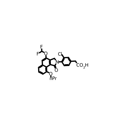 CCCOc1cccc2cc(OC(F)F)c3c(c12)C(=O)N(c1ccc(CC(=O)O)cc1Cl)C3